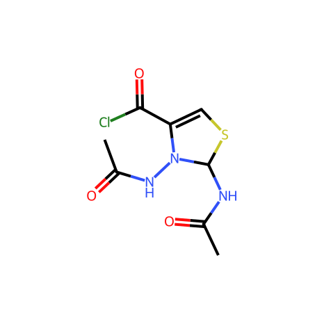 CC(=O)NC1SC=C(C(=O)Cl)N1NC(C)=O